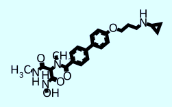 CNC(=O)C(C(=O)NO)N(C)C(=O)c1ccc(-c2ccc(OCCCNC3CC3)cc2)cc1